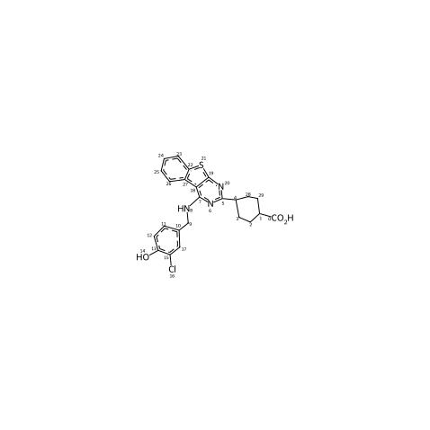 O=C(O)C1CCC(c2nc(NCc3ccc(O)c(Cl)c3)c3c(n2)sc2ccccc23)CC1